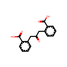 O=C(Cc1ccccc1C(=O)O)Cc1ccccc1C(=O)O